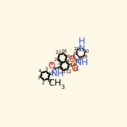 Cc1ccccc1NC(=O)c1ccc(S(=O)(=O)NC2CCNCC2)c2ccccc12